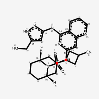 N#CC1CN(S(=O)(=O)N2[C@@H]3CCC[C@H]2C[C@H](Nc2cc4ncccc4c(Nc4cc(CO)[nH]n4)n2)C3)C1